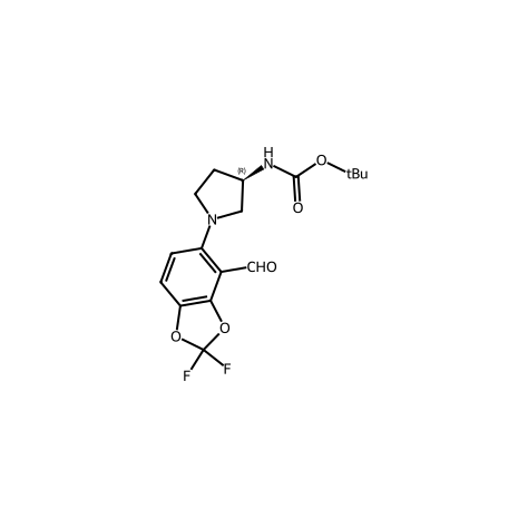 CC(C)(C)OC(=O)N[C@@H]1CCN(c2ccc3c(c2C=O)OC(F)(F)O3)C1